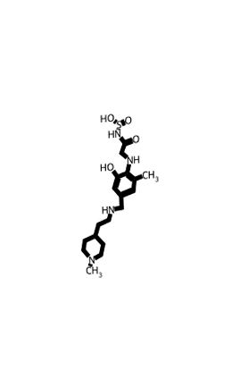 Cc1cc(CNCCC2CCN(C)CC2)cc(O)c1NCC(=O)NS(=O)O